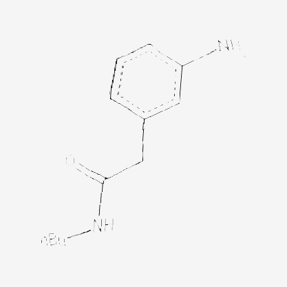 CCCCNC(=O)Cc1cccc(N)c1